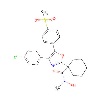 CN(O)C(=O)C1(c2nc(-c3ccc(Cl)cc3)c(-c3ccc(S(C)(=O)=O)cc3)o2)CCCCC1